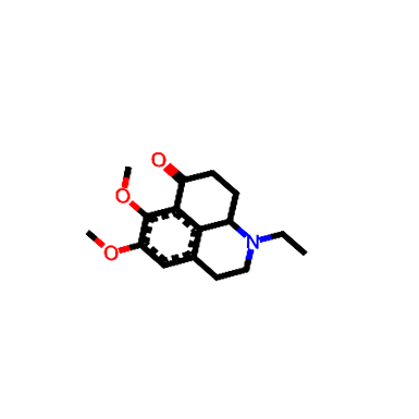 CCN1CCc2cc(OC)c(OC)c3c2C1CCC3=O